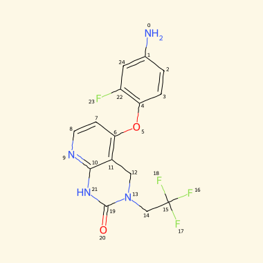 Nc1ccc(Oc2ccnc3c2CN(CC(F)(F)F)C(=O)N3)c(F)c1